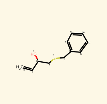 C=C[C@@H](O)CSCc1ccccc1